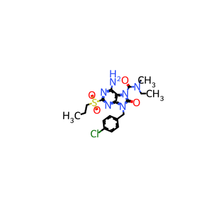 CCCS(=O)(=O)c1nc(N)c2c(n1)n(Cc1ccc(Cl)cc1)c(=O)n2C(=O)N(C)CC